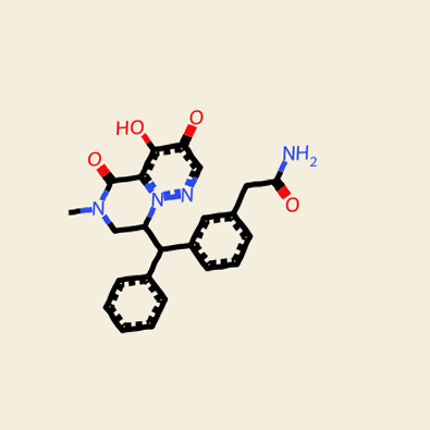 CN1CC(C(c2ccccc2)c2cccc(CC(N)=O)c2)n2ncc(=O)c(O)c2C1=O